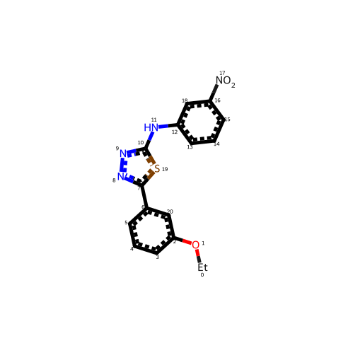 CCOc1cccc(-c2nnc(Nc3cccc([N+](=O)[O-])c3)s2)c1